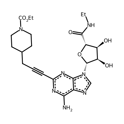 CCNC(=O)[C@H]1O[C@@H](n2cnc3c(N)nc(C#CCC4CCN(C(=O)OCC)CC4)nc32)[C@H](O)[C@@H]1O